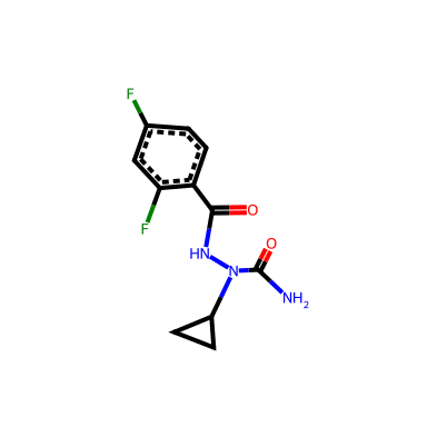 NC(=O)N(NC(=O)c1ccc(F)cc1F)C1CC1